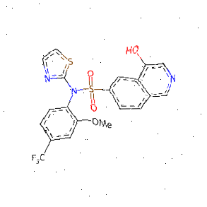 COc1cc(C(F)(F)F)ccc1N(c1nccs1)S(=O)(=O)c1ccc2cncc(O)c2c1